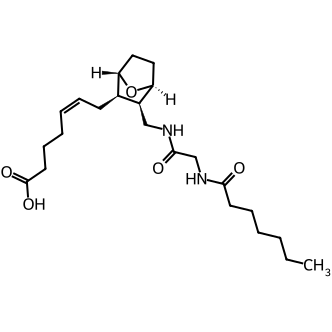 CCCCCCC(=O)NCC(=O)NC[C@H]1[C@@H](C/C=C\CCCC(=O)O)[C@@H]2CC[C@@H]1O2